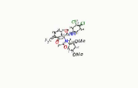 COc1ccc(CN2C(=O)COc3c(cccc3C(F)(F)F)C2C(=O)Nc2ccc(Cl)c(Cl)c2)c(OC)c1